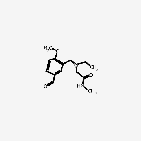 CCN(CC(=O)NC)Cc1cc(C=O)ccc1OC